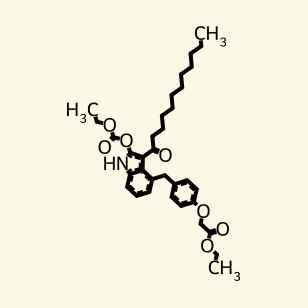 CCCCCCCCCCCC(=O)c1c(OC(=O)OCC)[nH]c2cccc(Cc3ccc(OCC(=O)OCC)cc3)c12